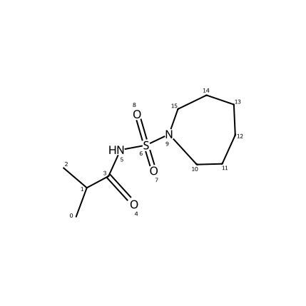 CC(C)C(=O)NS(=O)(=O)N1CCCCCC1